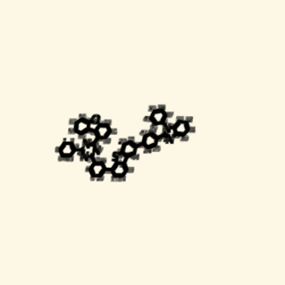 c1ccc(-c2nc(-c3cccc(-c4cccc5c4sc4ccc(-c6ccc(-c7nc8ccccc8n7-c7ccccc7)cc6)cc45)c3)nc(-c3cccc4oc5ccccc5c34)n2)cc1